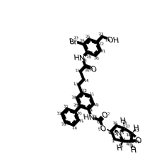 CN1[C@H]2C[C@H](OC(=O)Nc3ccc(CCCC(=O)Nc4ccc(CO)cc4Br)cc3-c3ccccc3)C[C@H]1[C@H]1O[C@H]12